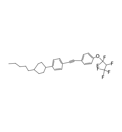 CCCCCC1CCC(c2ccc(C#Cc3ccc(OC(F)(F)C(F)C(F)(F)F)cc3)cc2)CC1